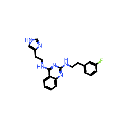 Fc1cccc(CCNc2nc(NCCc3c[nH]cn3)c3ccccc3n2)c1